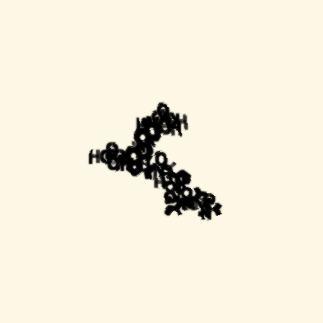 C=C(CNC(=O)[C@H](C)[C@@H](OC)C1CCCN1C(=O)C[C@@H](OC)[C@H]([C@@H](C)CC)N(C)C(=O)[C@@H](NC(=O)[C@H](C(C)C)N(C)C)C(C)C)[C@@H]1CC[C@]2(COP(=O)(O)O)CC[C@]3(C)C(CCC4[C@@]5(C)CC[C@H](OP(=O)(O)O)C(C)(C)[C@@H]5CC[C@]43C)[C@@H]12